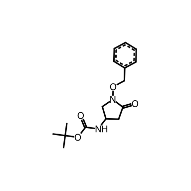 CC(C)(C)OC(=O)NC1CC(=O)N(OCc2ccccc2)C1